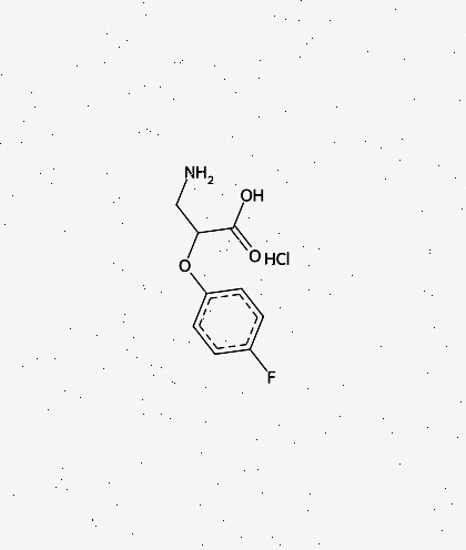 Cl.NCC(Oc1ccc(F)cc1)C(=O)O